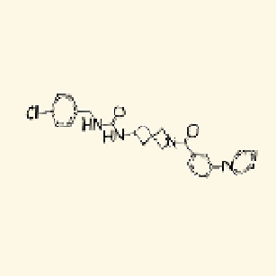 O=C(NCc1ccc(Cl)cc1)NC1CC2(C1)CN(C(=O)c1cccc(-n3cccc3)c1)C2